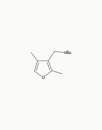 CCCCCc1c(C)coc1C